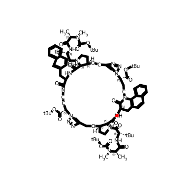 C[C@@H](C(=O)N[C@H](C(=O)N1CC[C@H]2OCc3cn(nn3)[C@H](C(=O)OC(C)(C)C)CCN3C(=O)[C@H](Cc4ccc5ccccc5c43)NC(=O)[C@@H]3[C@@H](CCN3C(=O)[C@@H](NC(=O)[C@H](C)N(C)C(=O)OC(C)(C)C)C(C)(C)C)OCc3cn(nn3)[C@H](C(=O)OC(C)(C)C)CCNC(=O)C(Cc3ccc4ccccc4c3)NC(=O)[C@H]21)C(C)(C)C)N(C)C(=O)OC(C)(C)C